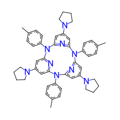 Cc1ccc(N2c3cc(N4CCCC4)cc(n3)N(c3ccc(C)cc3)c3cc(N4CCCC4)cc(n3)N(c3ccc(C)cc3)c3cc(N4CCCC4)cc2n3)cc1